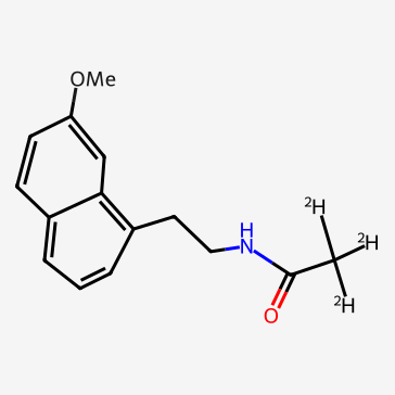 [2H]C([2H])([2H])C(=O)NCCc1cccc2ccc(OC)cc12